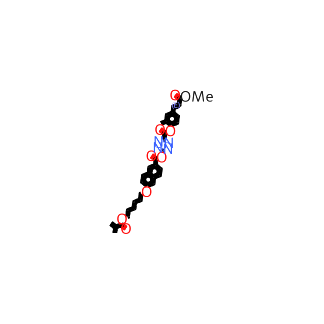 C=C(C)C(=O)OCCCCCCOc1ccc2cc(C(=O)Oc3nnc(C(=O)Oc4ccc(/C=C/C(=O)OC)cc4C)nn3)ccc2c1